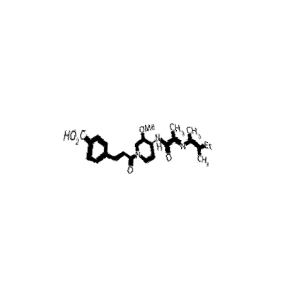 CC/C(C)=C(C)/N=C(\C)C(=O)N[C@@H]1CCN(C(=O)/C=C/c2ccc(C(=O)O)cc2)CC1OC